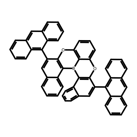 c1cc2c3c(c1)Oc1c(-c4c5ccccc5cc5ccccc45)cc4ccccc4c1B3c1c(c(-c3c4ccccc4cc4ccccc34)cc3ccccc13)O2